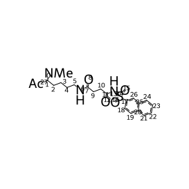 CN[C@@H](CCCCNC(=O)CCC(=O)NS(=O)(=O)c1ccc2ccccc2c1)C(C)=O